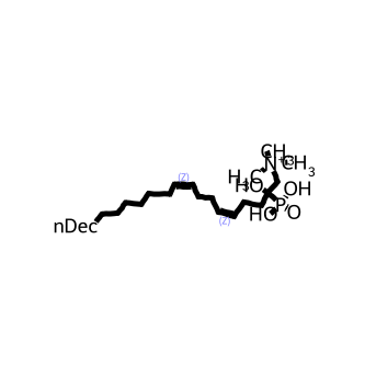 CCCCCCCCCCCCCCCC/C=C\CC/C=C\CCC(O)(C[N+](C)(C)C)P(=O)(O)O